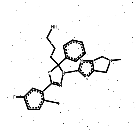 CN1Cc2nc(N3N=C(c4cc(F)ccc4F)SC3(CCCN)c3ccccc3)sc2C1